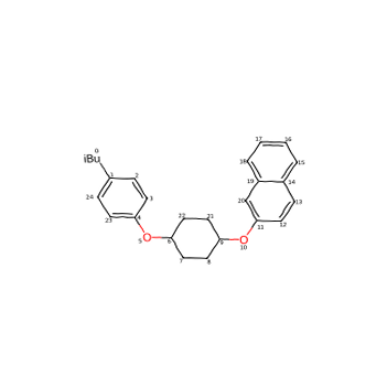 CCC(C)c1ccc(OC2CCC(Oc3ccc4ccccc4c3)CC2)cc1